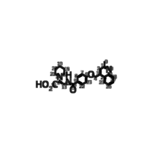 Cc1cc(COc2ccc(C(=O)NCC(C(=O)O)N3CCCCC3)cc2)c2ccccc2n1